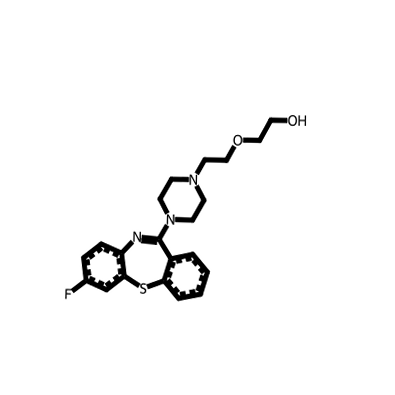 OCCOCCN1CCN(C2=Nc3ccc(F)cc3Sc3ccccc32)CC1